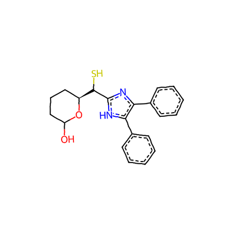 OC1CCC[C@@H](C(S)c2nc(-c3ccccc3)c(-c3ccccc3)[nH]2)O1